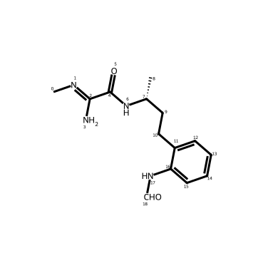 C/N=C(\N)C(=O)N[C@H](C)CCc1ccccc1NC=O